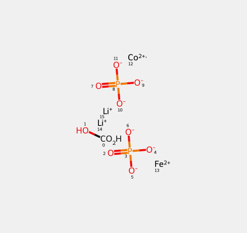 O=C(O)O.O=P([O-])([O-])[O-].O=P([O-])([O-])[O-].[Co+2].[Fe+2].[Li+].[Li+]